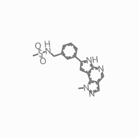 Cn1ncc2cnc3[nH]c(-c4cccc(CNS(C)(=O)=O)c4)cc3c21